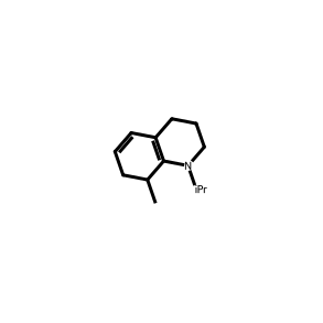 CC1CC=CC2=C1N(C(C)C)CCC2